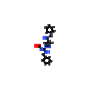 ON=C(NCc1ccccc1)n1cc(NCc2ccccc2)cn1